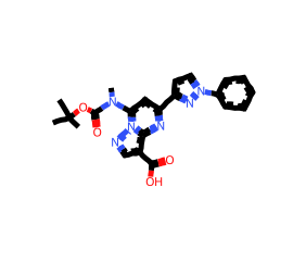 CN(C(=O)OC(C)(C)C)c1cc(-c2ccn(-c3ccccc3)n2)nc2c(C(=O)O)cnn12